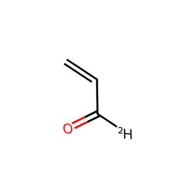 [2H]C(=O)C=C